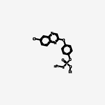 CCCSP(=O)(OCC)Oc1ccc(Oc2cnc3cc(Cl)ccc3n2)cc1